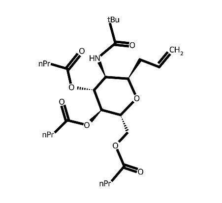 C=CC[C@H]1O[C@H](COC(=O)CCC)[C@@H](OC(=O)CCC)[C@H](OC(=O)CCC)[C@H]1NC(=O)C(C)(C)C